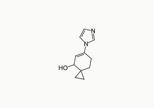 OC1C=C(n2ccnc2)CCC12CC2